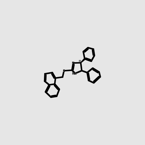 c1ccc(C2NC(SCc3cccc4ccccc34)=N[C@H]2c2ccccc2)cc1